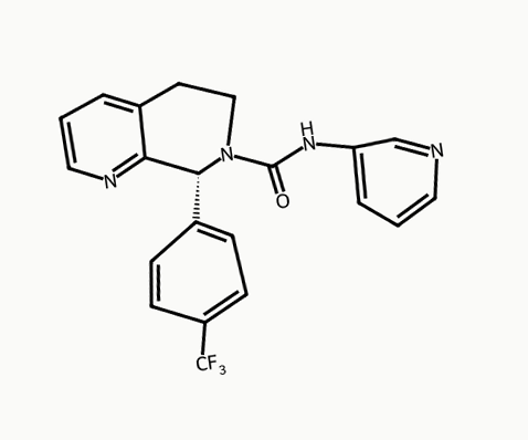 O=C(Nc1cccnc1)N1CCc2cccnc2[C@H]1c1ccc(C(F)(F)F)cc1